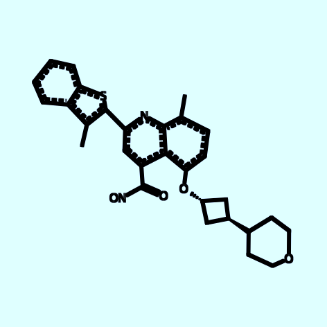 Cc1c(-c2cc(C(=O)N=O)c3c(O[C@H]4C[C@H](C5CCOCC5)C4)ccc(C)c3n2)sc2ccccc12